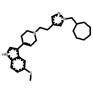 CSc1ccc2[nH]cc(C3=CCN(CCc4cnn(CC5CCCCCC5)c4)CC3)c2c1